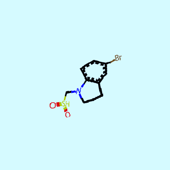 O=[SH](=O)CN1CCc2cc(Br)ccc21